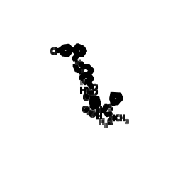 CN(C)CC[C@H](CSc1ccccc1)Nc1ccc(S(=O)(=O)NC(=O)c2cc3c(cn2)N2CCN(Cc4ccccc4-c4ccc(Cl)cc4)CC2CC3)cc1[N+](=O)[O-]